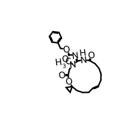 CN1CC(=O)OC2(CCC/C=C/CCCCC(=O)N/C1=N/C(=O)OCc1ccccc1)CC2